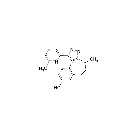 Cc1cccc(-c2nnc3n2-c2ccc(O)cc2CCC3C)n1